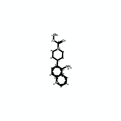 CC(C)(C)OC(=O)N1CCC(c2ccc3ncccc3c2N)CC1